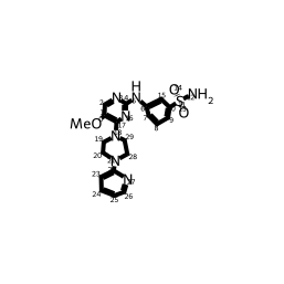 COc1cnc(Nc2cccc(S(N)(=O)=O)c2)nc1N1CCN(c2ccccn2)CC1